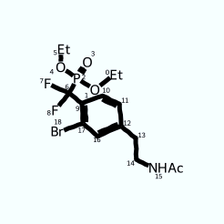 CCOP(=O)(OCC)C(F)(F)c1ccc(CCNC(C)=O)cc1Br